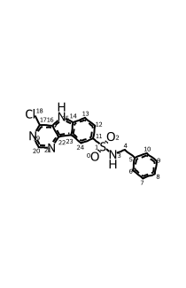 O=S(=O)(NCc1ccccc1)c1ccc2[nH]c3c(Cl)ncnc3c2c1